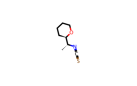 C[C@@H](N=C=S)[C@H]1CCCCO1